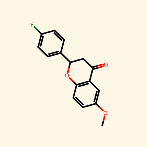 COc1ccc2c(c1)C(=O)CC(c1ccc(F)cc1)O2